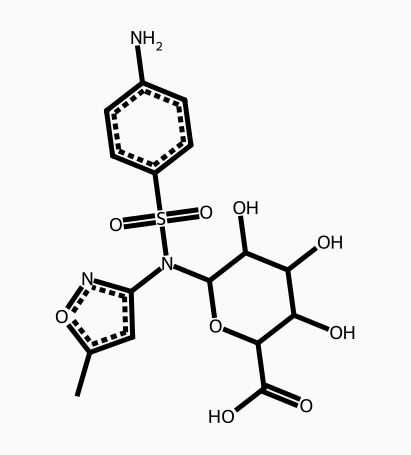 Cc1cc(N(C2OC(C(=O)O)C(O)C(O)C2O)S(=O)(=O)c2ccc(N)cc2)no1